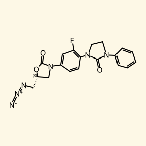 [N-]=[N+]=NC[C@H]1CN(c2ccc(N3CCN(c4ccccc4)C3=O)c(F)c2)C(=O)O1